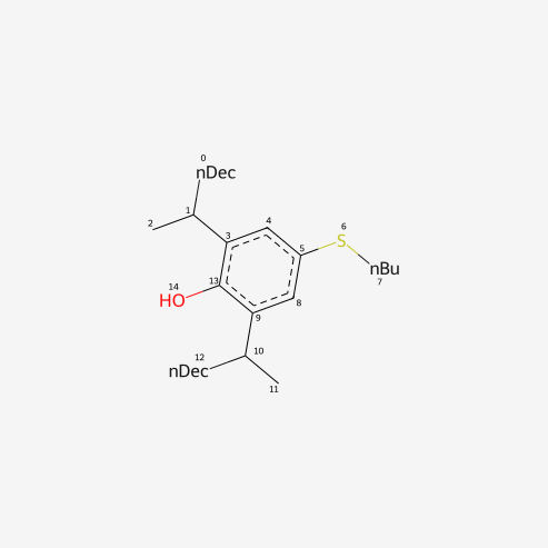 CCCCCCCCCCC(C)c1cc(SCCCC)cc(C(C)CCCCCCCCCC)c1O